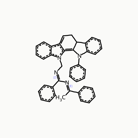 C/C(=N\C(=N/Cn1c2c(c3ccccc31)=CCC1C=2N(c2ccccc2)c2ccccc21)c1ccccc1)c1ccccc1